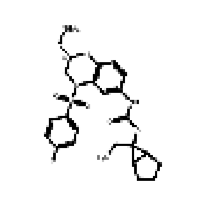 CC(=O)NC[C@H]1CN(S(=O)(=O)c2ccc(F)cc2)c2cc(NC(=O)OC3(CC(F)(F)F)C4CCCC43)ccc2O1